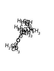 C=C(O)/C=C\C(=C/C)OCC(/C=C\C(=C)C(C)(C)OC(/C=C\C(=C/C)OCc1ccc(COC(=O)C(=C)C)cc1)=C/C)=C/C